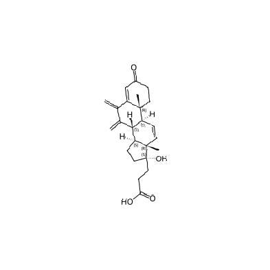 C=C1C(=C)[C@@H]2[C@H](C=C[C@@]3(C)[C@H]2CC[C@]3(O)CCC(=O)O)[C@@]2(C)CCC(=O)C=C12